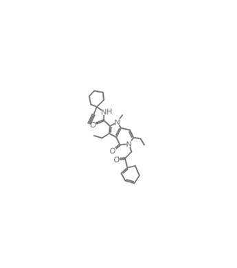 C#CC1(NC(=O)c2c(CC)c3c(=O)n(CC(=O)C4=CC=CCC4)c(CC)cc3n2C)CCCCC1